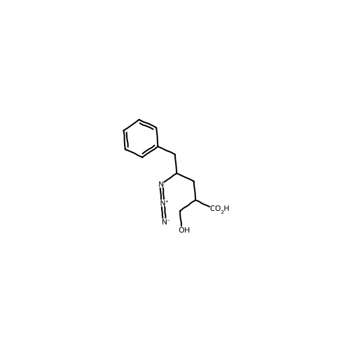 [N-]=[N+]=NC(Cc1ccccc1)CC(CO)C(=O)O